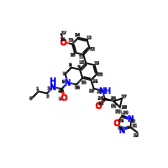 CCCNC(=O)N1CCc2c(-c3cccc(OC)c3)ccc(CNC(=O)[C@H]3C[C@@H]3c3nc(C)no3)c2C1